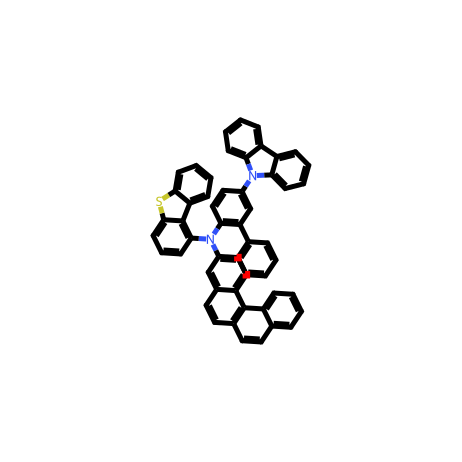 c1ccc(-c2cc(-n3c4ccccc4c4ccccc43)ccc2N(c2ccc3c(ccc4ccc5ccccc5c43)c2)c2cccc3sc4ccccc4c23)cc1